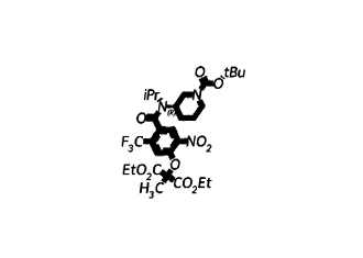 CCOC(=O)C(C)(Oc1cc(C(F)(F)F)c(C(=O)N(C(C)C)[C@@H]2CCCN(C(=O)OC(C)(C)C)C2)cc1[N+](=O)[O-])C(=O)OCC